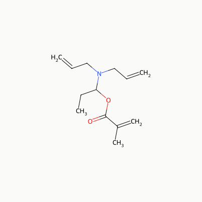 C=CCN(CC=C)C(CC)OC(=O)C(=C)C